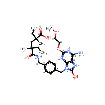 CCC(C)(CC(C)(CC)C(=O)NCc1ccc(Cn2c(O)nc3c(N)nc(OCCOC)nc32)cc1)C(=O)O